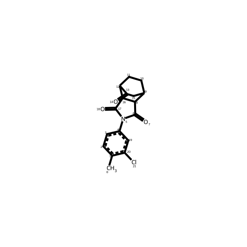 Cc1ccc(N2C(=O)C3C4CCC(C(=O)C4)C3C2=O)cc1Cl